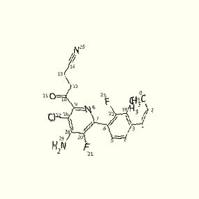 C/C=C\c1ccc(-c2nc(C(=O)CCC#N)c(Cl)c(N)c2F)c(F)c1C